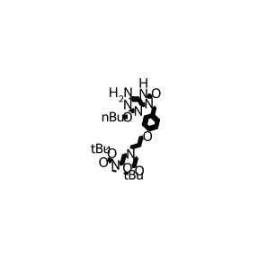 CCCCOc1nc(N)c2[nH]c(=O)n(Cc3ccc(OCCCN(CCN(C)C(=O)OC(C)(C)C)CC(=O)OC(C)(C)C)cc3)c2n1